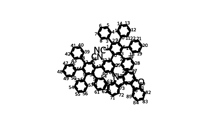 N#Cc1c(-c2ccccc2)c(-c2ccccc2)c(-c2ccccc2)c(-c2ccccc2)c1-c1cc(-c2c(C#N)c(-c3ccccc3)c(-c3ccccc3)c(-c3ccccc3)c2-c2ccccc2)cc(-n2c3ccccc3c3c4c(ccc32)oc2ccccc24)c1